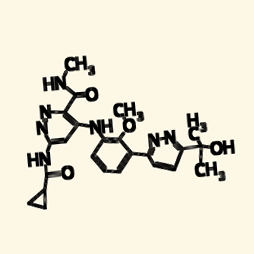 CNC(=O)c1nnc(NC(=O)C2CC2)cc1Nc1cccc(-c2ccc(C(C)(C)O)nn2)c1OC